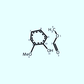 COC=O.COc1ccccc1O